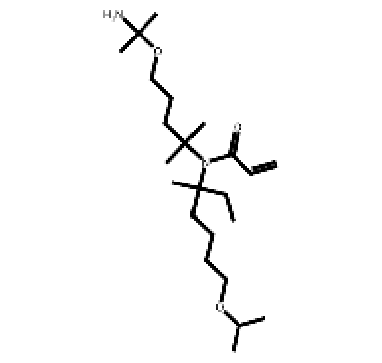 C=CC(=O)N(C(C)(C)CCCOC(C)(C)N)C(C)(CC)CCCCOC(C)C